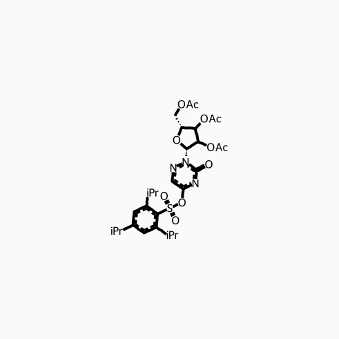 CC(=O)OC[C@H]1O[C@@H](n2ncc(OS(=O)(=O)c3c(C(C)C)cc(C(C)C)cc3C(C)C)nc2=O)C(OC(C)=O)C1OC(C)=O